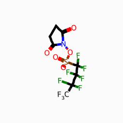 O=C1CCC(=O)N1OS(=O)(=O)C(F)(F)C(F)(F)C(F)(F)C(F)(F)F